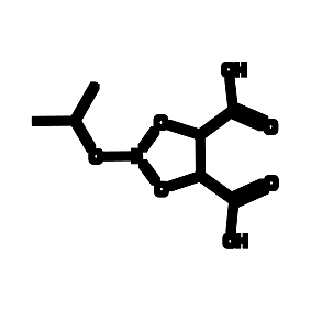 CC(C)OB1OC(C(=O)O)C(C(=O)O)O1